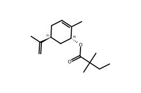 C=C(C)[C@H]1CC=C(C)[C@H](OC(=O)C(C)(C)CC)C1